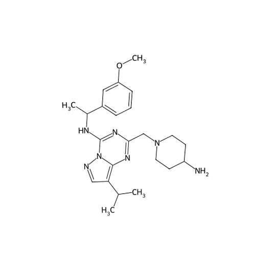 COc1cccc(C(C)Nc2nc(CN3CCC(N)CC3)nc3c(C(C)C)cnn23)c1